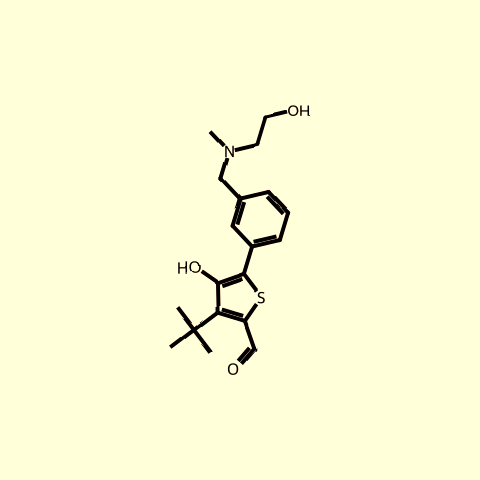 CN(CCO)Cc1cccc(-c2sc(C=O)c(C(C)(C)C)c2O)c1